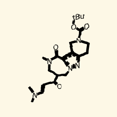 CN(C)C=CC(=O)C1CN(C)C(=O)c2c3c(nn2C1)CCN(C(=O)OC(C)(C)C)C3